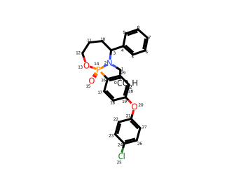 O=C(O)CN1C(c2ccccc2)CCCOP1(=O)c1ccc(Oc2ccc(Cl)cc2)cc1